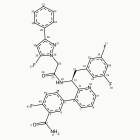 NC(=O)c1cc(-c2cccnc2[C@H](Cc2cc(F)cc(F)c2)NC(=O)Cn2nc(-c3ccccc3)cc2F)ccc1F